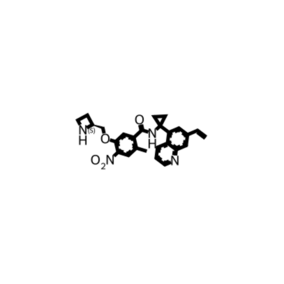 C=Cc1cc(C2(NC(=O)c3cc(OC[C@@H]4CCN4)c([N+](=O)[O-])cc3C)CC2)c2cccnc2c1